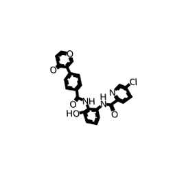 O=C(Nc1c(O)cccc1NC(=O)c1ccc(Cl)cn1)c1ccc(-c2coccc2=O)cc1